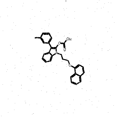 Cc1cccc(-c2c(OC(=O)O)n(CCCOc3cccc4ccccc34)c3ccccc23)c1